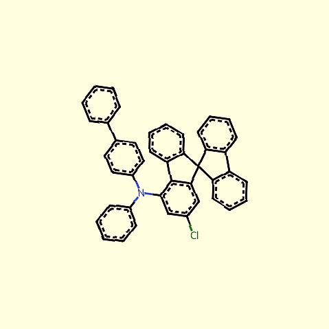 Clc1cc(N(c2ccccc2)c2ccc(-c3ccccc3)cc2)c2c(c1)C1(c3ccccc3-c3ccccc31)c1ccccc1-2